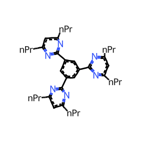 CCCc1cc(CCC)nc(-c2cc(-c3nc(CCC)cc(CCC)n3)cc(-c3nc(CCC)cc(CCC)n3)c2)n1